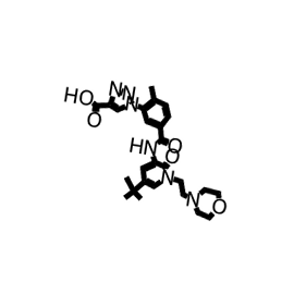 Cc1ccc(C(=O)Nc2cc(C(C)(C)C)cn(CCN3CCOCC3)c2=O)cc1-n1cc(C(=O)O)nn1